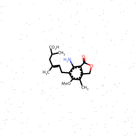 COc1c(C)c2c(c(N)c1C/C=C(\C)CC(C)C(=O)O)C(=O)OC2